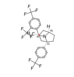 C[C@@H]1C[C@H]2CC[C@@](c3ccc(C(F)(F)F)cc3)(C1)N2Cc1ccc(C(F)(F)F)cc1C(F)(F)F